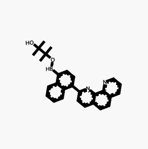 CC(C)(O)C(C)(C)OBc1ccc(-c2ccc3ccc4cccnc4c3n2)c2ccccc12